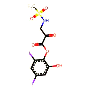 CS(=O)(=O)NCC(=O)C(=O)Oc1c(O)cc(I)cc1I